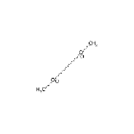 CCCCCCOC(=O)CCCCCCCCCCCCCCCC(=O)OCCCCCC